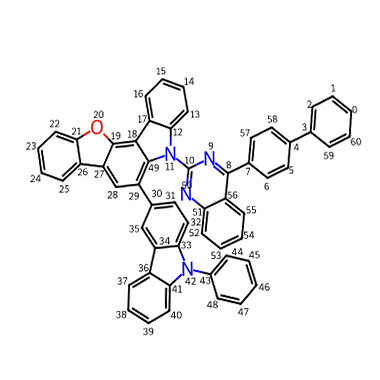 c1ccc(-c2ccc(-c3nc(-n4c5ccccc5c5c6oc7ccccc7c6cc(-c6ccc7c(c6)c6ccccc6n7-c6ccccc6)c54)nc4ccccc34)cc2)cc1